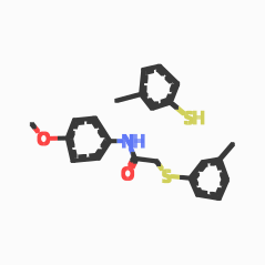 COc1ccc(NC(=O)CSc2cccc(C)c2)cc1.Cc1cccc(S)c1